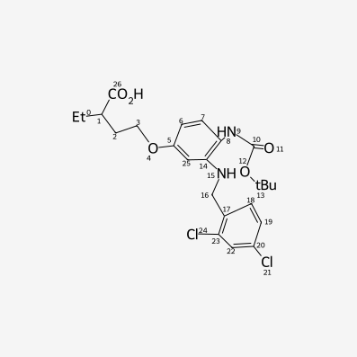 CCC(CCOc1ccc(NC(=O)OC(C)(C)C)c(NCc2ccc(Cl)cc2Cl)c1)C(=O)O